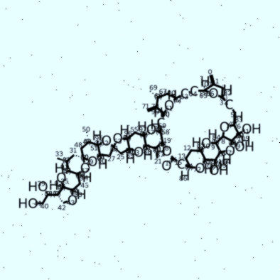 C=C1C[C@@H]2CC[C@H]3OC4[C@@H]5O[C@H]6CC[C@H](CC(=O)O[C@@H]7[C@@H](C)[C@@H]8O[C@@H]9C[C@]%10(C[C@@H]%11O[C@]%12(C[C@H](C)[C@@H]%13O[C@@H]%14[C@@H]([C@@H](O)CO)CO[C@@H]%14C[C@@H]%13O%12)C[C@H](C)[C@@H]%11O%10)O[C@@H]9C[C@@H]8O[C@H]7C[C@H]7O[C@@H](CC[C@@H]1O2)C[C@@H](C)C7=C)O[C@@H]6[C@H](O)[C@@H]5O[C@@]4(O)[C@H]3O